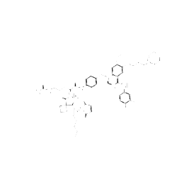 CCCCCN(C(=O)C1(C(=O)N[C@@H](CCCNC(N)=O)C(=O)Nc2ccc(C[n+]3cnc(Nc4ccc(F)c(Cl)c4)c4cc(OCCCN5CCOCC5)c(OC)cc43)cc2)CCC1)N1C(=O)C=CC1=O